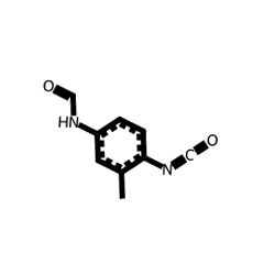 Cc1cc(NC=O)ccc1N=C=O